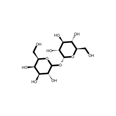 OC[C@H]1OC(O[C@H]2O[C@H](CO)[C@@H](O)[C@H](O)[C@H]2O)[C@H](O)[C@@H](O)[C@H]1O